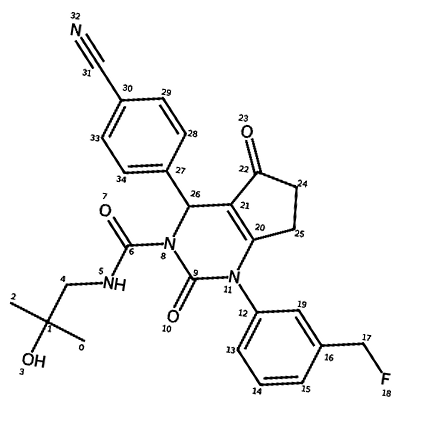 CC(C)(O)CNC(=O)N1C(=O)N(c2cccc(CF)c2)C2=C(C(=O)CC2)C1c1ccc(C#N)cc1